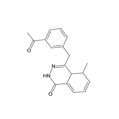 CC(=O)c1cccc(CC2=NNC(=O)C3=CC=CC(C)C32)c1